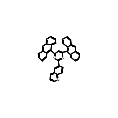 c1cnc2ccc(-c3nc(-c4c5ccccc5cc5ccccc45)cc(-c4c5ccccc5cc5ccccc45)n3)cc2c1